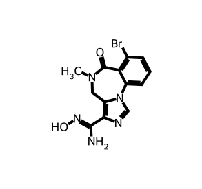 CN1Cc2c(C(N)=NO)ncn2-c2cccc(Br)c2C1=O